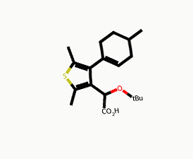 Cc1sc(C)c(C(OC(C)(C)C)C(=O)O)c1C1=CCC(C)CC1